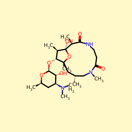 C[C@H]1CN(C)C(=O)CCNC(=O)[C@H](C)[C@@]2(O)OC(C)(C1)[C@H](O[C@@H]1O[C@H](C)C[C@H](N(C)C)[C@H]1O)[C@H]2C